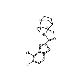 O=C(N[C@H]1C2CCN(CC2)C12CC2)c1cc2ccc(Cl)c(Cl)c2s1